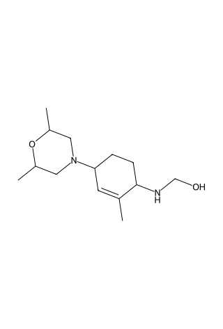 CC1=CC(N2CC(C)OC(C)C2)CCC1NCO